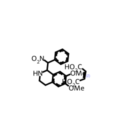 COc1cc2c(cc1OC)C(C(c1ccccc1)[N+](=O)[O-])NCC2.O=C(O)/C=C\C(=O)O